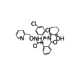 O=C(NOCc1ccccn1)[C@@H]1c2ccccc2C(=O)N([C@H]2CCCC[C@@H]2O)[C@H]1c1ccc(Cl)cc1Cl